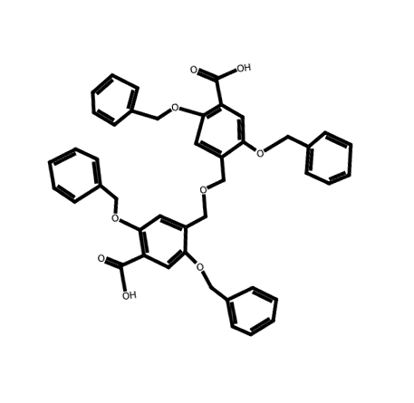 O=C(O)c1cc(OCc2ccccc2)c(COCc2cc(OCc3ccccc3)c(C(=O)O)cc2OCc2ccccc2)cc1OCc1ccccc1